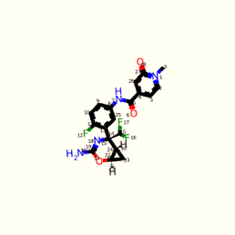 Cn1ccc(C(=O)Nc2ccc(F)c([C@@]3(C(F)F)N=C(N)O[C@@H]4C[C@@H]43)c2)cc1=O